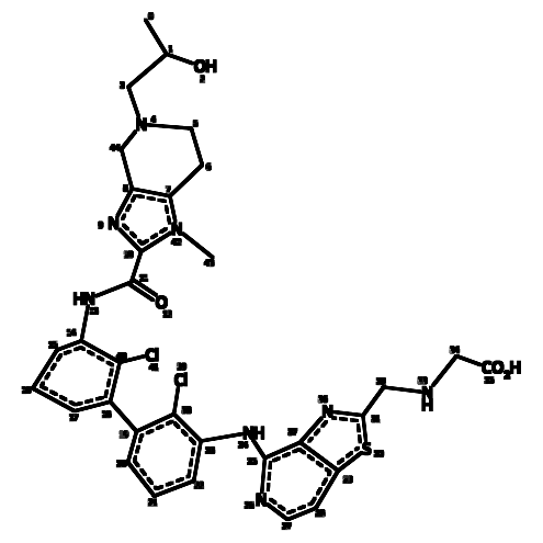 CC(O)CN1CCc2c(nc(C(=O)Nc3cccc(-c4cccc(Nc5nccc6sc(CNCC(=O)O)nc56)c4Cl)c3Cl)n2C)C1